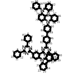 c1ccc(-c2nc(-c3ccccc3)nc(-c3ccc(-n4c5ccccc5c5ccccc54)c(-c4nc(-c5ccccc5)nc(-c5ccc(-c6ccc(N7c8ccccc8B8c9ccccc9N(c9ccccc9)c9cccc7c98)cc6)cc5)n4)c3)n2)cc1